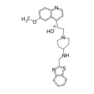 COc1ccc2nccc([C@@H](O)CN3CCC(NCc4nc5ccccc5s4)CC3)c2c1